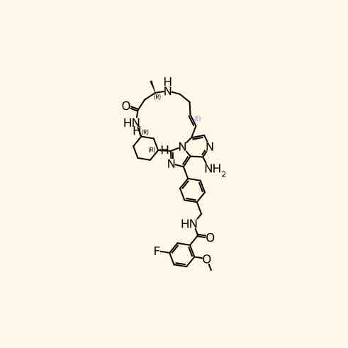 COc1ccc(F)cc1C(=O)NCc1ccc(-c2nc3n4c(cnc(N)c24)/C=C/CCN[C@H](C)CC(=O)N[C@@H]2CCC[C@@H]3C2)cc1